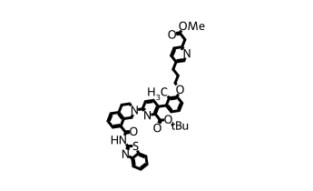 COC(=O)Cc1ccc(CCCOc2cccc(-c3ccc(N4CCc5cccc(C(=O)Nc6nc7ccccc7s6)c5C4)nc3C(=O)OC(C)(C)C)c2C)cn1